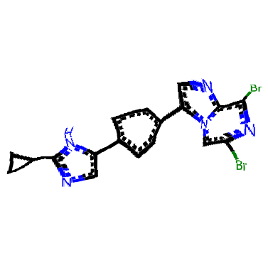 Brc1cn2c(-c3ccc(-c4cnc(C5CC5)[nH]4)cc3)cnc2c(Br)n1